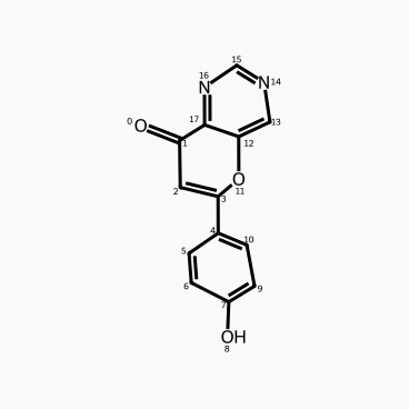 O=c1cc(-c2ccc(O)cc2)oc2cncnc12